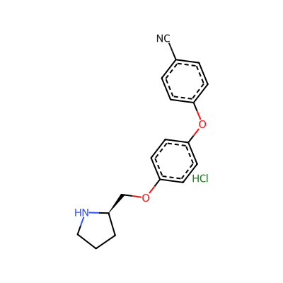 Cl.N#Cc1ccc(Oc2ccc(OC[C@H]3CCCN3)cc2)cc1